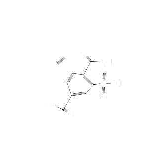 C=C.O=C(O)c1ccc(C(=O)O)c(S(=O)(=O)O)c1